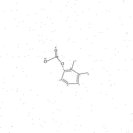 Cc1ccccc1C.O=C(Cl)Cl